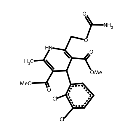 COC(=O)C1=C(C)NC(COC(N)=O)=C(C(=O)OC)C1c1cccc(Cl)c1Cl